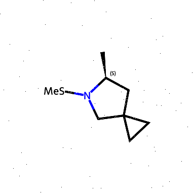 CSN1CC2(CC2)C[C@@H]1C